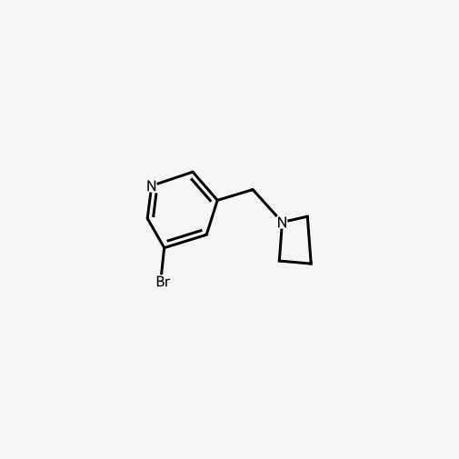 Brc1cncc(CN2CCC2)c1